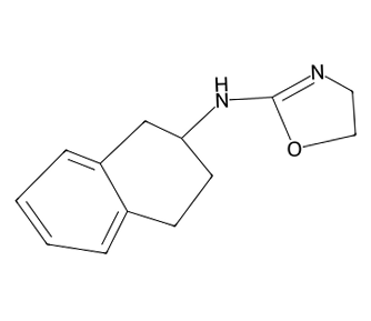 c1ccc2c(c1)CCC(NC1=NCCO1)C2